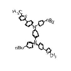 CCCCc1ccc(N(c2ccc(-c3ccc(C)s3)cc2)c2ccc(N(c3ccc(CCCC)cc3)c3ccc(-c4ccc(C)s4)cc3)cc2)cc1